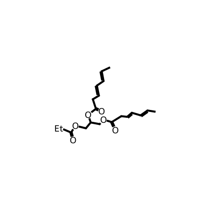 CC=CC=CCC(=O)OCC(COC(=O)CC)OC(=O)CC=CC=CC